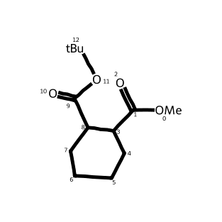 COC(=O)C1CCCCC1C(=O)OC(C)(C)C